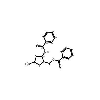 BC1CC(COC(=O)c2ccccc2)C(OC(=O)c2ccccc2)C1